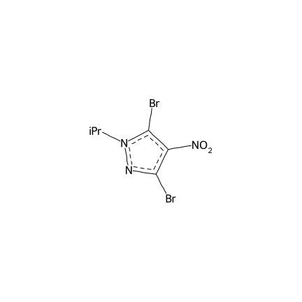 CC(C)n1nc(Br)c([N+](=O)[O-])c1Br